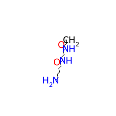 C=CC(=O)NCCCNC(=O)CCCCCN